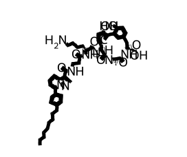 CCCCCCCCCc1ccc(-c2cccc3c(C(=O)NCCC(=O)N[C@@H](CCCCN)C(=O)N(C)[C@@H]4C(=O)N[C@@H](C)C(=O)N[C@H](C(=O)O)Cc5ccc(O)c(c5)-c5cc4ccc5O)cnn23)cc1